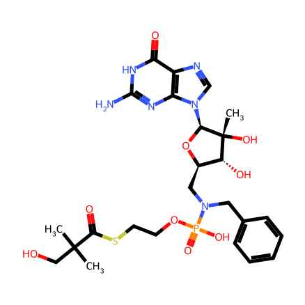 CC(C)(CO)C(=O)SCCOP(=O)(O)N(Cc1ccccc1)C[C@H]1O[C@@H](n2cnc3c(=O)[nH]c(N)nc32)[C@](C)(O)[C@@H]1O